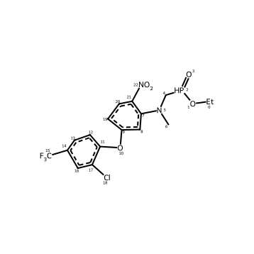 CCO[PH](=O)CN(C)c1cc(Oc2ccc(C(F)(F)F)cc2Cl)ccc1[N+](=O)[O-]